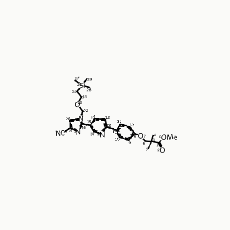 COC(=O)C(C)(C)COc1ccc(-c2ccc(-c3nc(C#N)cn3COCC[Si](C)(C)C)cn2)cc1